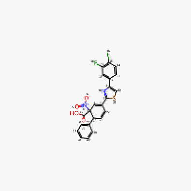 O=C(O)C1([N+](=O)[O-])C=C(c2nc(-c3ccc(F)c(F)c3)cs2)C=CC1c1ccccc1